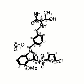 COc1cccc2c1c(NS(=O)(=O)c1ccc(Cl)s1)nn2Cc1cccc(CN[C@@H](C(N)=O)[C@@H](C)O)c1.O=CO